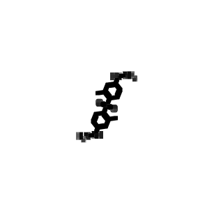 Cc1cc(NN)ccc1S(=O)(=O)c1ccc(NN)cc1C